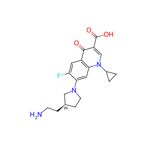 NCC[C@@H]1CCN(c2cc3c(cc2F)c(=O)c(C(=O)O)cn3C2CC2)C1